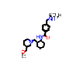 CCOCC1CCCN(CC2CCCCC2NC(=O)c2ccc(CNC(=O)O)cc2)C1